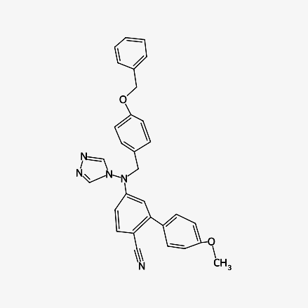 COc1ccc(-c2cc(N(Cc3ccc(OCc4ccccc4)cc3)n3cnnc3)ccc2C#N)cc1